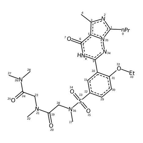 CCCc1nc(C)c2c(=O)[nH]c(-c3cc(S(=O)(=O)N(C)CC(=O)N(C)CC(=O)N(C)C)ccc3OCC)nn12